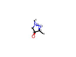 CC1=NN(C)CC1=O